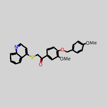 COc1ccc(COc2ccc(C(=O)CSc3ccnc4ccccc34)cc2OC)cc1